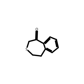 O=C1CSCCc2ccccc21